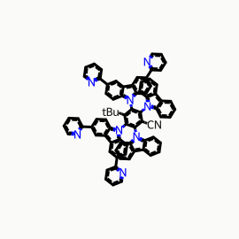 CC(C)(C)c1c(-n2c3ccc(-c4ccccn4)cc3c3cc(-c4ccccn4)ccc32)c(-n2c3ccccc3c3ccccc32)c(C#N)c(-n2c3ccccc3c3ccccc32)c1-n1c2ccc(-c3ccccn3)cc2c2cc(-c3ccccn3)ccc21